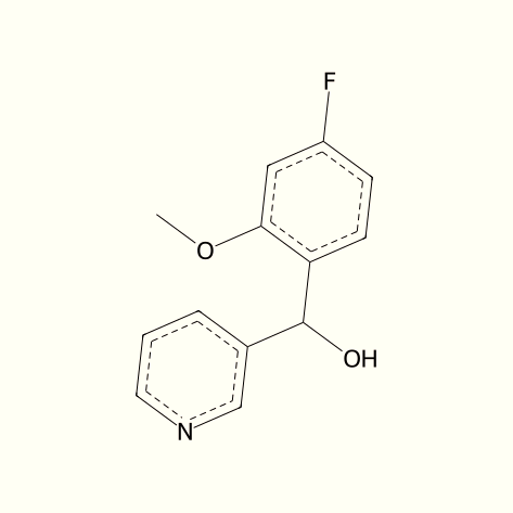 COc1cc(F)ccc1C(O)c1cccnc1